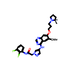 [CH2][C@@H]1CCCN1CCCOc1cc2ncnc(Nc3cnn(CC(=O)Nc4cccc(F)c4F)c3)c2cc1OC